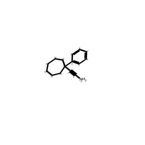 NC#CC1(c2ccccc2)CCCCCC1